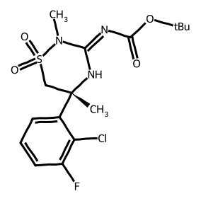 CN1/C(=N/C(=O)OC(C)(C)C)N[C@](C)(c2cccc(F)c2Cl)CS1(=O)=O